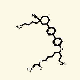 C=CC(=O)OCCCCC(CCC)Oc1ccc(-c2ccc(C3CCCC(C#N)(CCCCC)C3)cc2)cc1